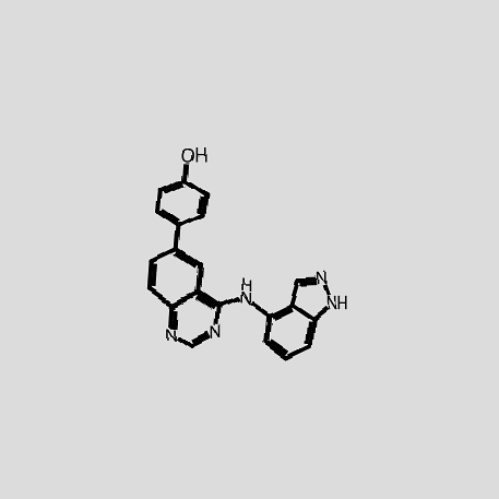 Oc1ccc(-c2ccc3ncnc(Nc4cccc5[nH]ncc45)c3c2)cc1